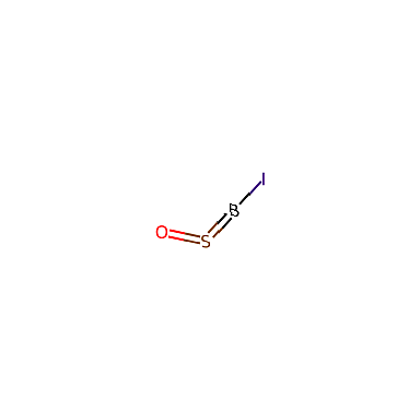 O=S=BI